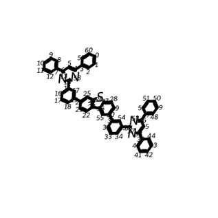 c1ccc(-c2cc(-c3ccccc3)nc(-c3cccc(-c4ccc5c(c4)sc4ccc(-c6cccc(-c7nc(-c8ccccc8)cc(-c8ccccc8)n7)c6)cc45)c3)n2)cc1